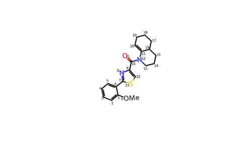 COc1ccccc1-c1nc(C(=O)N2CCCC3CCCC=C32)cs1